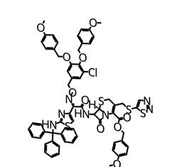 COc1ccc(COC(=O)C2=C(CSc3cnns3)CS[C@H]3C(NC(=O)/C(=N\OCc4cc(Cl)c(OCc5ccc(OC)cc5)c(OCc5ccc(OC)cc5)c4)c4csc(NC(c5ccccc5)(c5ccccc5)c5ccccc5)n4)C(=O)N23)cc1